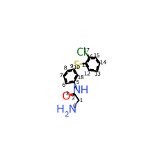 NCC(=O)Nc1cccc(Sc2ccccc2Cl)c1